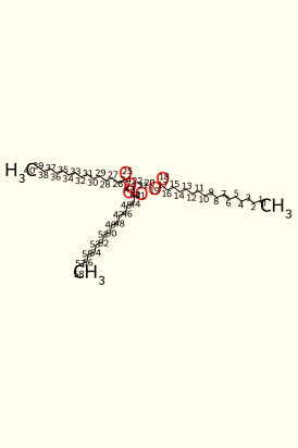 CCCCCC/C=C/CCCCCCCCCC(=O)OC[C@@H](COC(=O)CCCCCCCCCCCCCCC)OC(=O)CCCCCCCCCCCCCCC